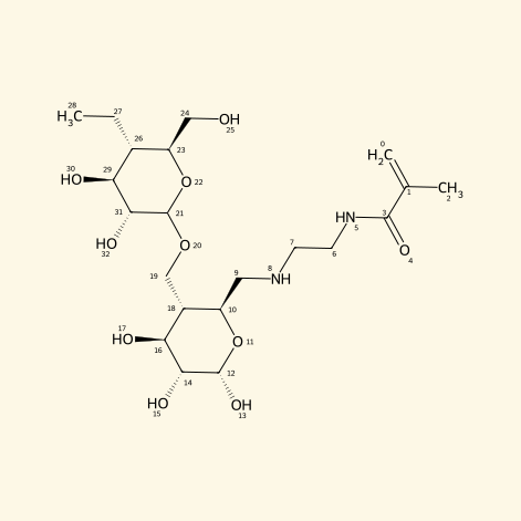 C=C(C)C(=O)NCCNC[C@H]1O[C@H](O)[C@H](O)[C@@H](O)[C@@H]1COC1O[C@H](CO)[C@@H](CC)[C@H](O)[C@H]1O